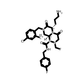 Cc1cc(Cl)ccc1CN1C[C@H]2N(C(=O)CN(CF)N2C(=O)NCc2ccc(F)cc2)[C@@H](CCCN)C1=O